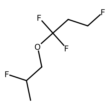 CC(F)COC(F)(F)CCF